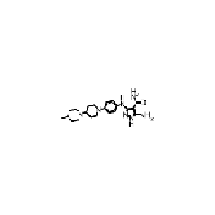 CC1CCN(C2CCN(c3ccc(Nc4n[nH]c(N)c4C(N)=O)cc3)CC2)CC1